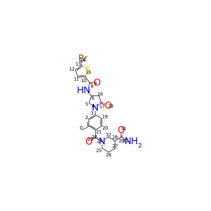 Cc1cc(N2CC(NC(=O)c3ccc(Br)s3)CC2=O)ccc1C(=O)N1CCCC(C(N)=O)C1